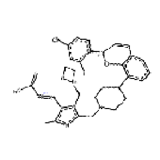 Cc1nc(CN2CCC(c3cccc4c3O[C@@H](c3ccc(Cl)cc3F)C=C4)CC2)n(C[C@@H]2CCO2)c1/C=C/C(=O)O